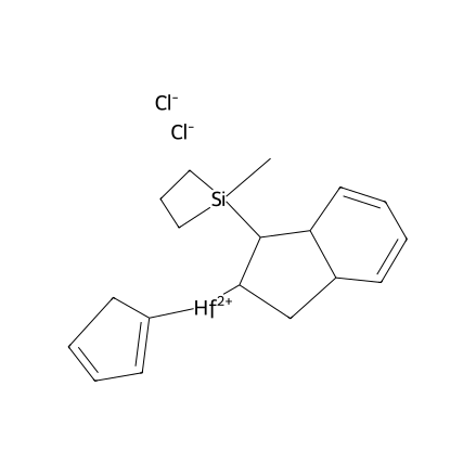 C[Si]1(C2[CH]([Hf+2][C]3=CC=CC3)CC3C=CC=CC32)CCC1.[Cl-].[Cl-]